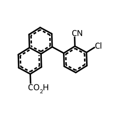 N#Cc1c(Cl)cccc1-c1cccc2ccc(C(=O)O)cc12